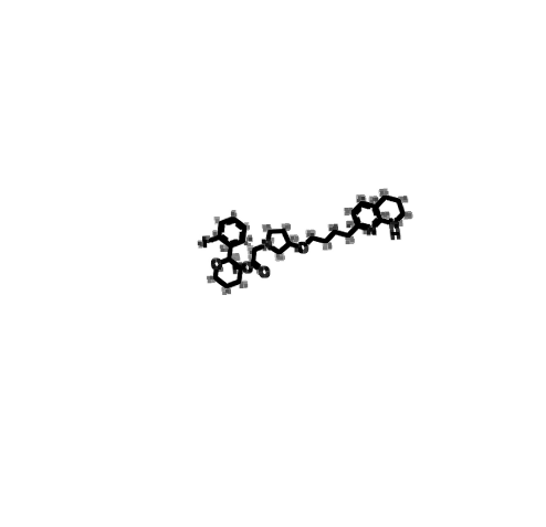 O=C(O)[C@H](c1cccc(F)c1C1CCCCO1)N1CCC(OCCCCc2ccc3c(n2)NCCC3)C1